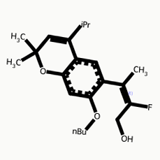 CCCCOc1cc2c(cc1/C(C)=C(/F)CO)C(C(C)C)=CC(C)(C)O2